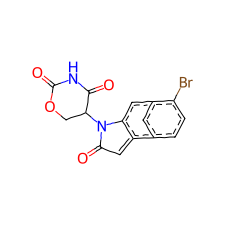 O=C1NC(=O)C(N2C(=O)C=c3c2cc2cc3ccc2Br)CO1